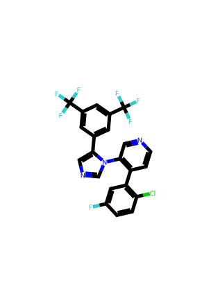 Fc1ccc(Cl)c(-c2ccncc2-n2cncc2-c2cc(C(F)(F)F)cc(C(F)(F)F)c2)c1